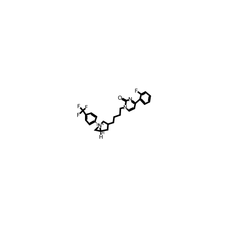 O=c1nc(-c2ccccc2F)ccn1CCCCC1C[C@@H]2C[N@@+]2(c2ccc(C(F)(F)F)cc2)C1